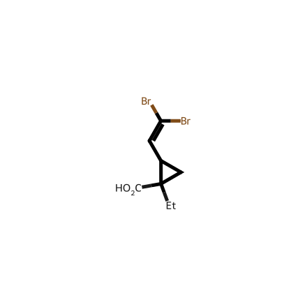 CCC1(C(=O)O)CC1C=C(Br)Br